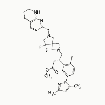 COC(=O)C[C@H](CN1CC2(CN(Cc3ccc4c(n3)NCCC4)CC2(F)F)C1)c1cc(-n2nc(C)cc2C)ccc1F